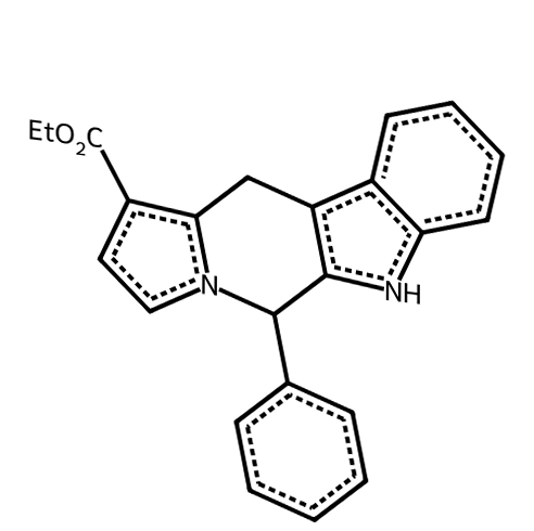 CCOC(=O)c1ccn2c1Cc1c([nH]c3ccccc13)C2c1ccccc1